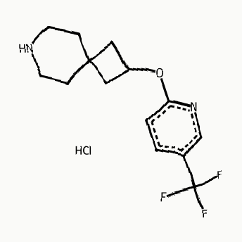 Cl.FC(F)(F)c1ccc(OC2CC3(CCNCC3)C2)nc1